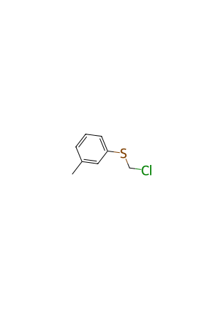 Cc1cccc(SCCl)c1